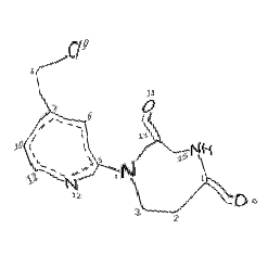 O=C1CCN(c2cc(CCl)ccn2)C(=O)N1